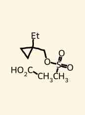 CC(=O)O.CCC1(COS(C)(=O)=O)CC1